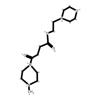 CN1CCN(C(=O)CCC(=O)OCCN2CCOCC2)CC1